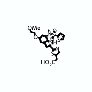 COCCOc1cc(N(C)S(=O)(=O)c2cccs2)c2[nH]c(C3=NCC(CC(=O)O)S3)cc2c1